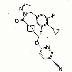 N#Cc1ccc(OCC23CC(C(=O)N4N=CCC4c4cc(F)c(C5CC5)c(F)c4)(C2)C3)nc1